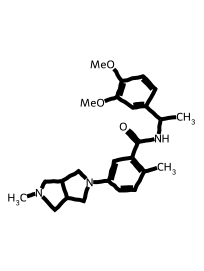 COc1ccc(C(C)NC(=O)c2cc(N3CC4CN(C)CC4C3)ccc2C)cc1OC